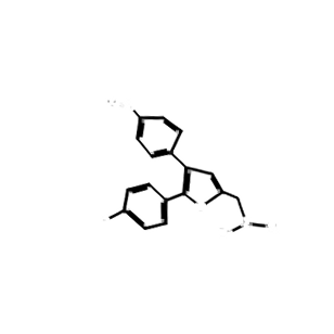 CCN(CC)Cc1cc(-c2ccc(SC)cc2)c(-c2ccc(F)cc2)s1